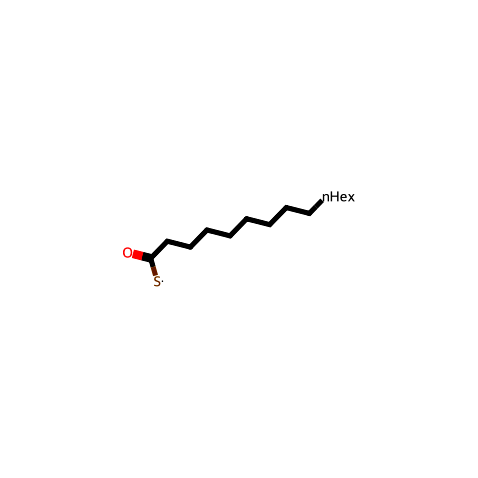 CCCCCCCCCCCCCCC(=O)[S]